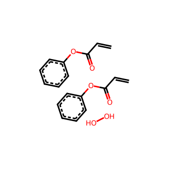 C=CC(=O)Oc1ccccc1.C=CC(=O)Oc1ccccc1.OO